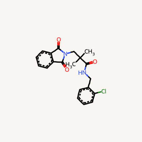 CC(C)(CN1C(=O)c2ccccc2C1=O)C(=O)NCc1ccccc1Cl